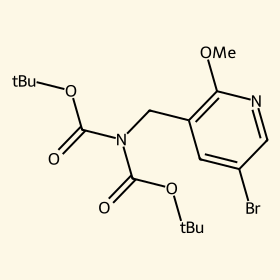 COc1ncc(Br)cc1CN(C(=O)OC(C)(C)C)C(=O)OC(C)(C)C